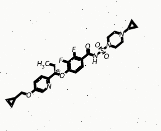 CC[C@@H](Oc1ccc(C(=O)NS(=O)(=O)N2CCN(C3CC3)CC2)c(F)c1F)c1ccc(OCC2CC2)cn1